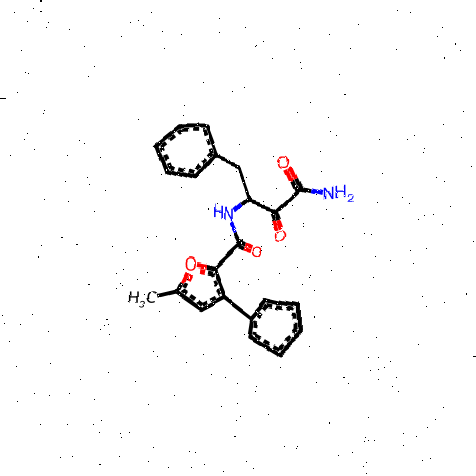 Cc1cc(-c2ccccc2)c(C(=O)NC(Cc2ccccc2)C(=O)C(N)=O)o1